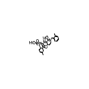 Cc1ccc([C@H](CC(=O)O)NC(=O)Nc2c(O)ccn(Cc3ccccc3C)c2=O)cc1